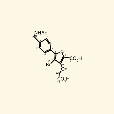 CC(=O)NCc1ccc(-c2sc(C(=O)O)c(OCC(=O)O)c2Br)cc1